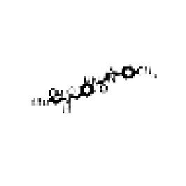 Cc1ccc(-c2nc(C(=O)Nc3ccc(CC(=O)Nc4cc(C(C)(C)C)on4)cc3)cs2)cc1